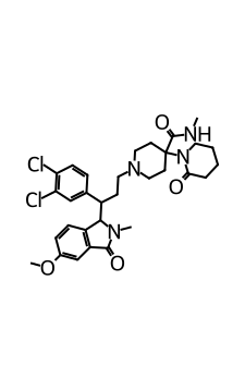 CNC(=O)C1(N2CCCCC2=O)CCN(CCC(c2ccc(Cl)c(Cl)c2)C2c3ccc(OC)cc3C(=O)N2C)CC1